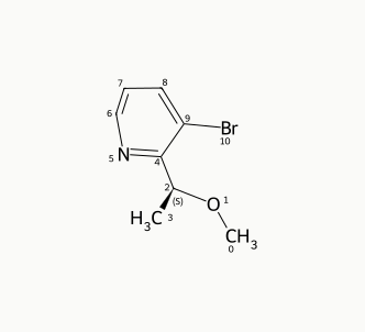 CO[C@@H](C)c1ncccc1Br